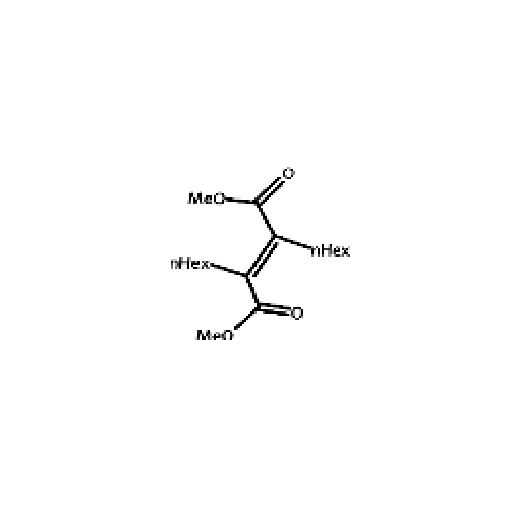 CCCCCCC(C(=O)OC)=C(CCCCCC)C(=O)OC